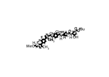 COCCn1nc(C)c(-c2ccc(-c3cnc(C(O)Nc4ccc(C(=O)N[C@H]5[C@@H]6CN(C(=O)N[C@@H]7CN(C(=O)OC(C)(C)C)C[C@H]7O)C[C@@H]65)c(Cl)c4)n3C)c(F)c2F)c1C